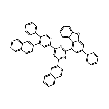 c1ccc(-c2cc(-c3nc(-c4ccc(-c5ccccc5)c(-c5ccc6ccccc6c5)c4)nc(-c4ccc5ccccc5c4)n3)c3c(c2)oc2ccccc23)cc1